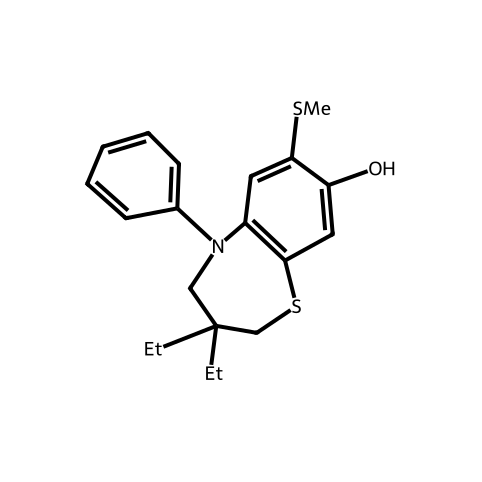 CCC1(CC)CSc2cc(O)c(SC)cc2N(c2ccccc2)C1